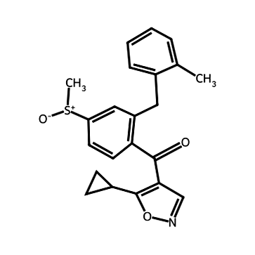 Cc1ccccc1Cc1cc([S+](C)[O-])ccc1C(=O)c1cnoc1C1CC1